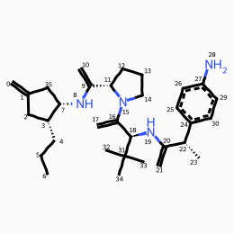 C=C1C[C@@H](CCC)[C@@H](NC(=C)[C@@H]2CCCN2C(=C)[C@@H](NC(=C)[C@@H](C)c2ccc(N)cc2)C(C)(C)C)C1